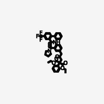 CCOC(=O)C(CC(=O)Cc1ccc(NC(=O)c2cc(C(F)(F)F)ccc2-c2ccccc2)c(C(=O)N2CCCC2)c1)(C(=O)OCC)c1ccccc1